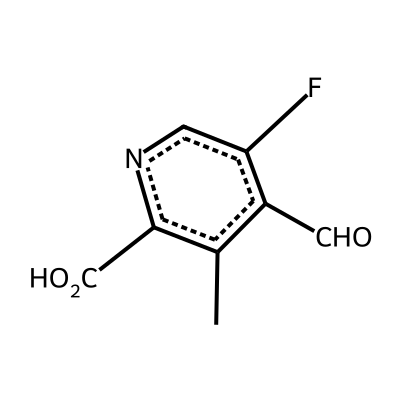 Cc1c(C(=O)O)ncc(F)c1C=O